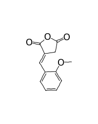 COc1ccccc1/C=C1\CC(=O)OC1=O